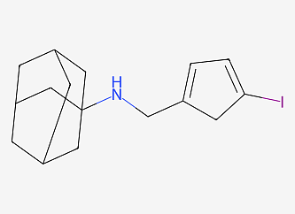 IC1=CC=C(CNC23CC4CC(CC(C4)C2)C3)C1